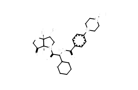 CC(C)[C@@H]1CN(C(=O)[C@@H](NC(=O)c2ccc(N3CCN(C)CC3)cc2)C2CCCCC2)[C@@H]2C(=O)CO[C@@H]21